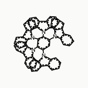 c1ccc2c(c1)c1ccccc1n2-c1cc(-n2c3ccccc3c3ccccc32)c(-n2c3ccccc3c3ccccc32)c(-n2c3ccccc3c3ccccc32)c1-n1c2ccccc2c2ccccc21